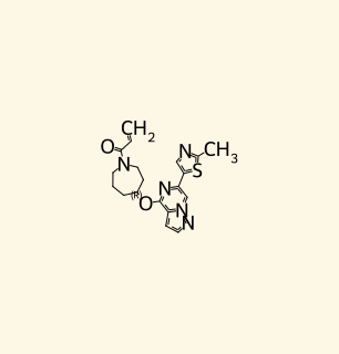 C=CC(=O)N1CCC[C@@H](Oc2nc(-c3cnc(C)s3)cn3nccc23)CC1